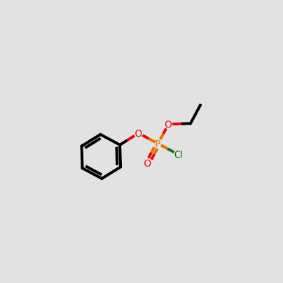 CCOP(=O)(Cl)Oc1ccccc1